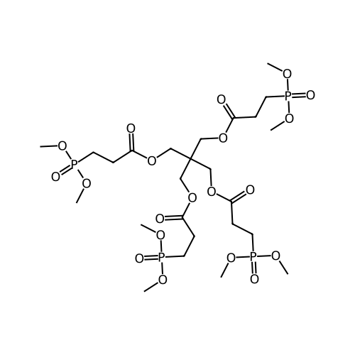 COP(=O)(CCC(=O)OCC(COC(=O)CCP(=O)(OC)OC)(COC(=O)CCP(=O)(OC)OC)COC(=O)CCP(=O)(OC)OC)OC